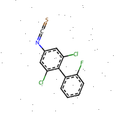 Fc1ccccc1-c1c(Cl)cc(N=C=S)cc1Cl